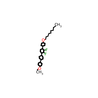 CCCCCCCCCCOc1ccc(-c2ccc(-c3ccc(-c4ccc(OCC)cc4)cc3)c(F)c2F)cc1